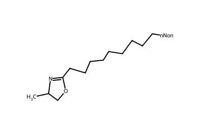 CCCCCCCCCCCCCCCCCCC1=NC(C)CO1